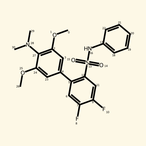 COc1cc(-c2cc(F)c(F)cc2S(=O)(=O)Nc2ccccc2)cc(OC)c1N(C)C